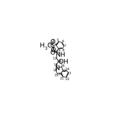 CS(=O)(=O)c1ccccc1C(=O)NCC(O)CN1CCc2ccccc2C1